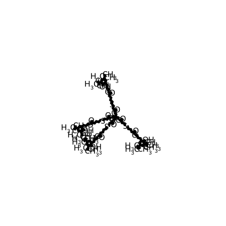 CC(C)(C)c1cc(CCCOC(=O)CCCCSCCC(=O)OCC(COC(=O)CCSCCCCC(=O)OCCCc2cc(C(C)(C)C)cc(C(C)(C)C)c2O)(COC(=O)CCSCCCCC(=O)OCCCc2cc(C(C)(C)C)cc(C(C)(C)C)c2O)COC(=O)CCSCCCCC(=O)OCCCc2cc(C(C)(C)C)cc(C(C)(C)C)c2O)c(O)c(C(C)(C)C)c1